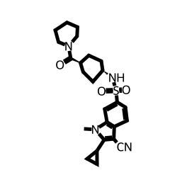 Cn1c(C2CC2)c(C#N)c2ccc(S(=O)(=O)N[C@H]3CC[C@H](C(=O)N4CCCCC4)CC3)cc21